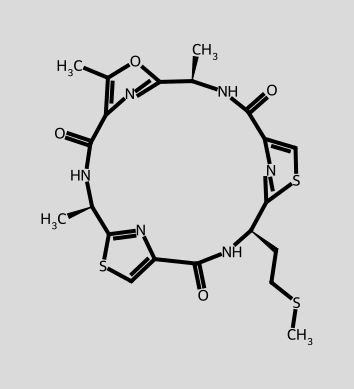 CSCC[C@H]1NC(=O)c2csc(n2)[C@@H](C)NC(=O)c2nc(oc2C)[C@@H](C)NC(=O)c2csc1n2